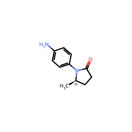 C[C@@H]1CCC(=O)N1c1ccc(N)cc1